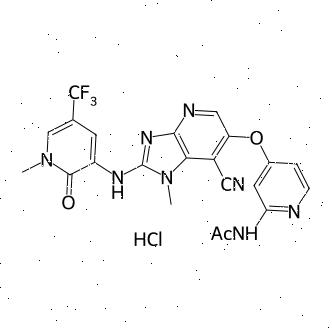 CC(=O)Nc1cc(Oc2cnc3nc(Nc4cc(C(F)(F)F)cn(C)c4=O)n(C)c3c2C#N)ccn1.Cl